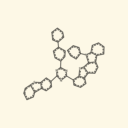 c1ccc(-c2ccc(-c3nc(-c4ccc5c(c4)sc4ccccc45)nc(-c4cccc5c4sc4c5ccc5c6ccccc6n(-c6ccccc6)c54)n3)cc2)cc1